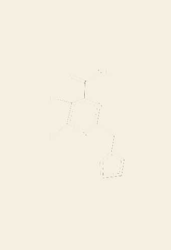 NC(=O)c1nc(Cc2ccsc2)nc(O)c1O